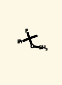 CC(C)C(C)(F)O[SiH3]